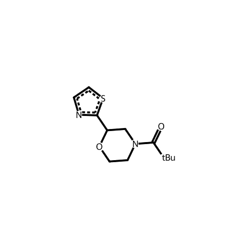 CC(C)(C)C(=O)N1CCOC(c2nccs2)C1